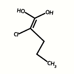 CCCC(Cl)=C(O)O